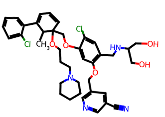 CC1C(c2ccccc2Cl)=CC=CC1(COc1cc(OCc2cncc(C#N)c2)c(CNC(CO)CO)cc1Cl)OCCCN1CCCCC1